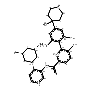 C[C@@H]1C[C@H](N)C[C@H](c2ccncc2NC(=O)c2ccc(F)c(-c3c(F)cc(C4(O)CCOCC4)cc3F)n2)C1